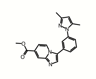 COC(=O)c1ccn2c(-c3cccc(-n4nc(C)cc4C)c3)cnc2c1